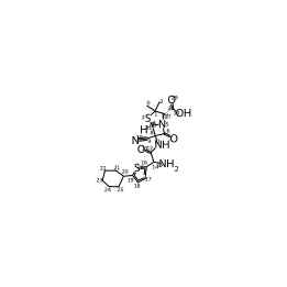 CC1(C)S[C@H]2N(C(=O)C2(C#N)NC(=O)C(N)c2ccc(C3CCCCC3)s2)[C@H]1C(=O)O